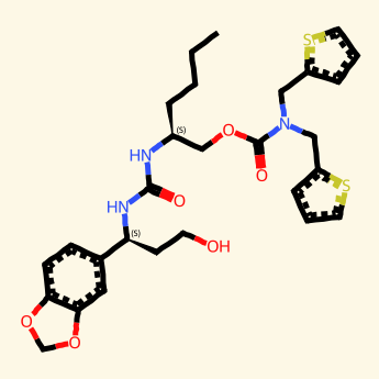 CCCC[C@@H](COC(=O)N(Cc1cccs1)Cc1cccs1)NC(=O)N[C@@H](CCO)c1ccc2c(c1)OCO2